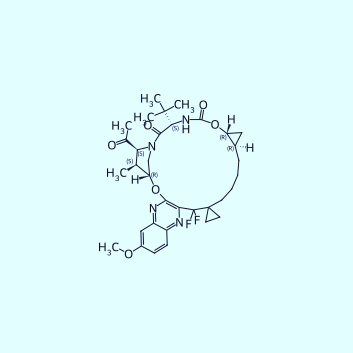 COc1ccc2nc3c(nc2c1)O[C@H]1CN(C(=O)[C@H](C(C)(C)C)NC(=O)O[C@@H]2C[C@H]2CCCCC2(CC2)C3(F)F)[C@H](C(C)=O)[C@@H]1C